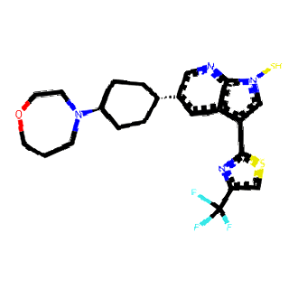 FC(F)(F)c1csc(-c2cn(S)c3ncc([C@H]4CC[C@H](N5CCCOCC5)CC4)cc23)n1